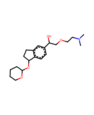 CN(C)CCOCC(O)c1ccc2c(c1)CCC2OC1CCCCO1